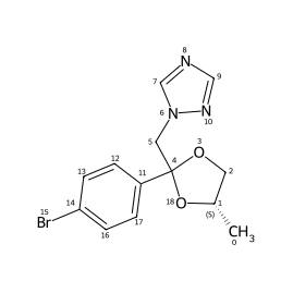 C[C@H]1COC(Cn2cncn2)(c2ccc(Br)cc2)O1